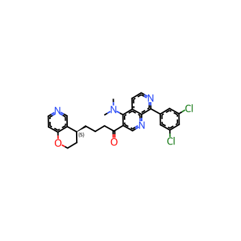 CN(C)c1c(C(=O)CCC[C@H]2CCOc3ccncc32)cnc2c(-c3cc(Cl)cc(Cl)c3)nccc12